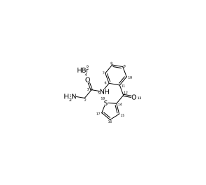 Br.NCC(=O)Nc1ccccc1C(=O)c1cccs1